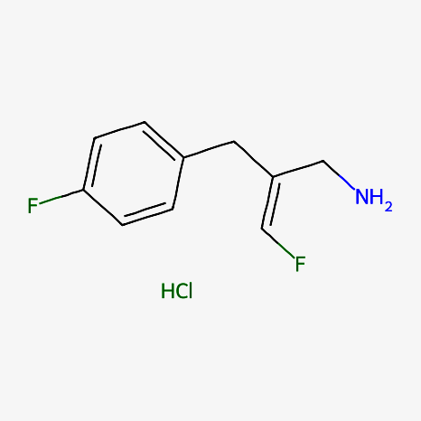 Cl.NCC(=CF)Cc1ccc(F)cc1